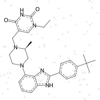 CCn1cc(CN2CCN(c3cccc4[nH]c(-c5ccc(C(C)(C)C)cc5)nc34)C[C@@H]2C)c(=O)[nH]c1=O